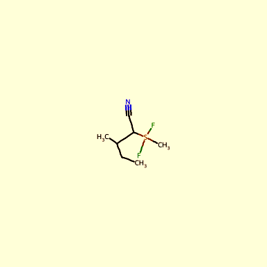 CCC(C)C(C#N)S(C)(F)F